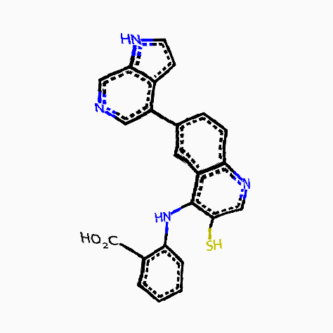 O=C(O)c1ccccc1Nc1c(S)cnc2ccc(-c3cncc4[nH]ccc34)cc12